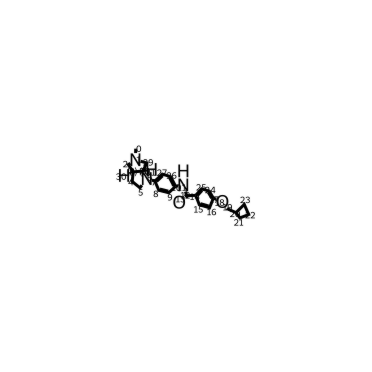 CN1C[C@H]2CCN(c3ccc(NC(=O)c4ccc(OCC5CCC5)cc4)cc3)[C@H]2C1